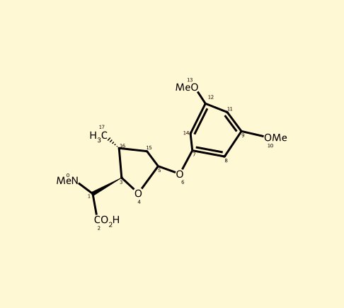 CNC(C(=O)O)[C@@H]1OC(Oc2cc(OC)cc(OC)c2)C[C@H]1C